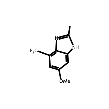 COc1cc(C(F)(F)F)c2nc(C)[nH]c2c1